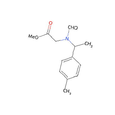 COC(=O)CN(C=O)C(C)c1ccc(C)cc1